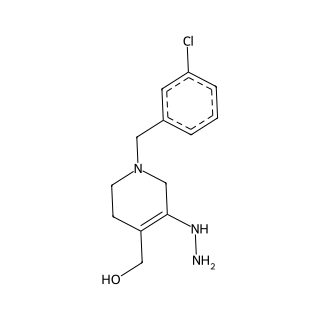 NNC1=C(CO)CCN(Cc2cccc(Cl)c2)C1